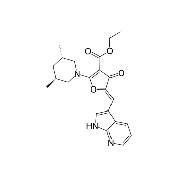 CCOC(=O)C1=C(N2C[C@@H](C)C[C@H](C)C2)O/C(=C\c2c[nH]c3ncccc23)C1=O